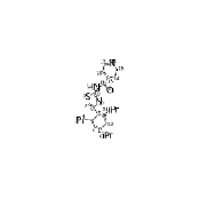 CC(C)C1=CC(C(C)C)C(c2csc(NC(=O)c3ccncc3)n2)C(C(C)C)=C1